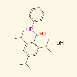 CC(C)c1cc(C(C)C)c(C(=O)Pc2ccccc2)c(C(C)C)c1.[LiH]